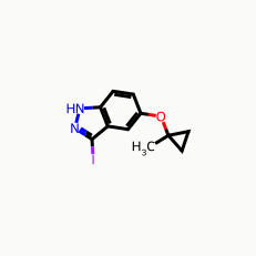 CC1(Oc2ccc3[nH]nc(I)c3c2)CC1